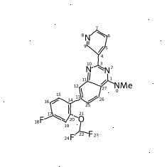 CNc1nc(-c2cccnc2)nc2cc(-c3ccc(F)cc3OC(F)F)ccc12